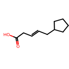 O=C(O)C/C=C/CC1CCCC1